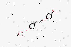 CC1(C)OC[C@@H](COc2ccc(CCCOc3ccc(C(=O)O)cc3)cc2)O1